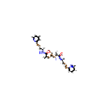 CC(SC(=S)SC(C)C(=O)NCCSSc1ccccn1)C(=O)NCCSSc1ccccn1